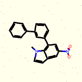 Cn1ccc2cc([N+](=O)[O-])cc(-c3cccc(-c4ccccc4)c3)c21